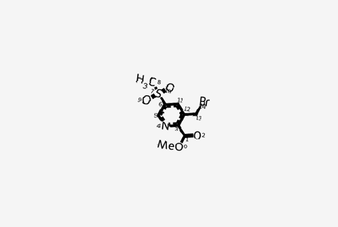 COC(=O)c1ncc(S(C)(=O)=O)cc1CBr